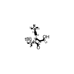 C[C@@H](O)[C@@H]1C(=O)N([Si](C)(C)C(C)(C)C)[C@@H]1C#C[Si](C)(C)C